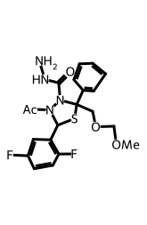 COCOCC1(c2ccccc2)SC(c2cc(F)ccc2F)N(C(C)=O)N1C(=O)NN